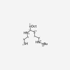 CCCCCCCCC(NCCS)SCCNCCCC